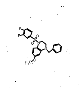 COc1ccc2c(c1)N(Cc1ccccc1)CCN2S(=O)(=O)c1ccc(F)c(F)c1